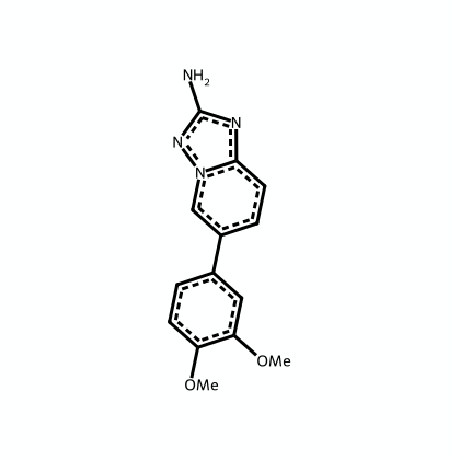 COc1ccc(-c2ccc3nc(N)nn3c2)cc1OC